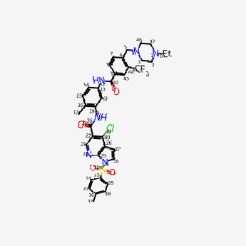 CCN1CCN(Cc2ccc(C(=O)Nc3ccc(C)c(NC(=O)c4cnc5c(ccn5S(=O)(=O)c5ccc(C)cc5)c4Cl)c3)cc2C(F)(F)F)CC1